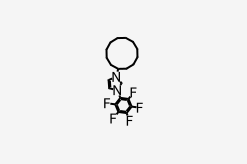 Fc1c(F)c(F)c(N2C=CN(C3CCCCCCCCCCC3)C2)c(F)c1F